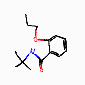 CCCOc1ccccc1C(=O)NC(C)(C)C